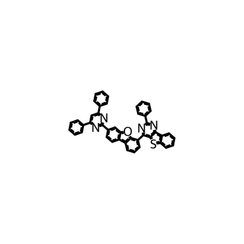 c1ccc(-c2cc(-c3ccccc3)nc(-c3ccc4c(c3)oc3c(-c5nc(-c6ccccc6)nc6c5sc5ccccc56)cccc34)n2)cc1